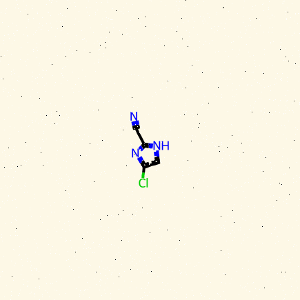 N#Cc1nc(Cl)c[nH]1